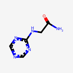 NC(=O)CNc1ncncn1